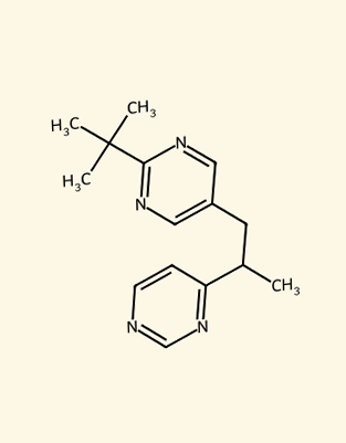 CC(Cc1cnc(C(C)(C)C)nc1)c1ccncn1